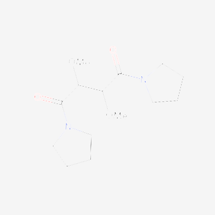 COC(C(=O)N1CCCC1)C(OC)C(=O)N1CCCC1